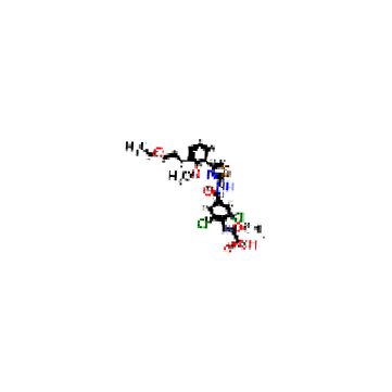 CCOCCCc1cccc(-c2csc(NC(=O)c3cc(Cl)c(/C=C(\OC)C(=O)O)c(Cl)c3)n2)c1OC